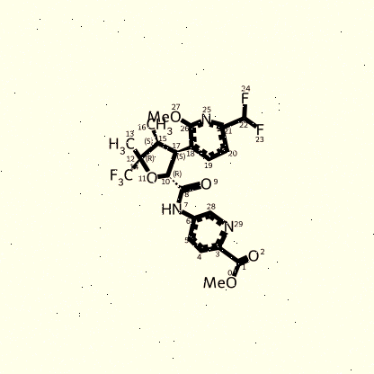 COC(=O)c1ccc(NC(=O)[C@@H]2O[C@@](C)(C(F)(F)F)[C@@H](C)[C@H]2c2ccc(C(F)F)nc2OC)cn1